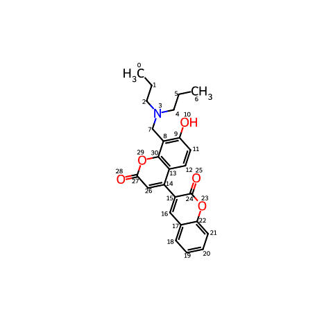 CCCN(CCC)Cc1c(O)ccc2c(-c3cc4ccccc4oc3=O)cc(=O)oc12